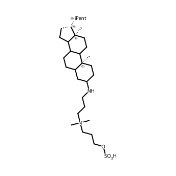 CCC[C@@H](C)[C@H]1CCC2C3CCC4CC(NCCC[N+](C)(C)CCCOS(=O)(=O)O)CC[C@]4(C)C3CC[C@@]21C